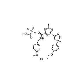 COc1ccc(CNC(=O)c2cc(C3=NOC(C)(c4ccc(OCCO)cc4)C3)nc(C)n2)cc1.O=C(O)C(F)(F)F